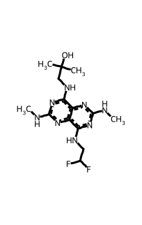 CNc1nc(NCC(C)(C)O)c2nc(NC)nc(NCC(F)F)c2n1